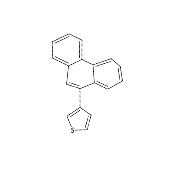 c1ccc2c(c1)cc(-c1ccsc1)c1ccccc12